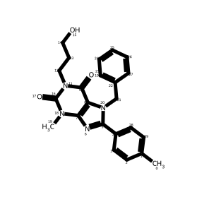 Cc1ccc(-c2nc3c(c(=O)n(CCCO)c(=O)n3C)n2Cc2ccccc2)cc1